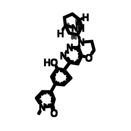 Cn1ccc(-c2ccc(-c3cc4c(nn3)N([C@@H]3C[C@H]5CC[C@@H](C3)N5)CCO4)c(O)c2)cc1=O